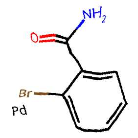 NC(=O)c1ccccc1Br.[Pd]